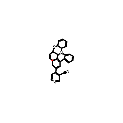 N#Cc1cnccc1C1=CC(c2ccccc2N2C3C=CC=CC3SC3C=CCCC32)=CCC1